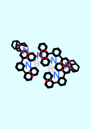 c1ccc(-c2cccc(-c3ccccc3)c2N2c3ccccc3B3c4cc5c(cc4N(c4ccccc4)c4cc(N6C7CC8CC6C6CCCC8C6C7)cc2c43)N(c2c(-c3ccccc3)cccc2-c2ccccc2)c2cc(N3C4CC6CC(C4)CC3C6)cc3c2B5c2ccccc2N3c2c(-c3ccccc3)cccc2-c2ccccc2)cc1